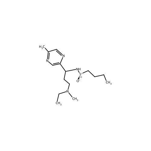 CCCC[S@@+]([O-])NC(CCN(C)CC)c1cnc(C)cn1